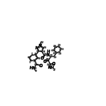 CNC(=O)c1cccc(-c2nn(C)cc2C(=O)NC(Cc2ccccc2)C(=O)C(N)=O)c1